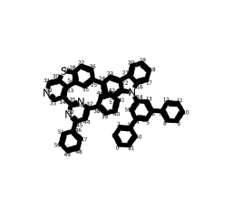 c1ccc(-c2cc(-c3ccccc3)cc(-n3c4ccccc4c4cc(-c5ccc6sc7cncc(-c8nc(-c9ccccc9)cc(-c9ccccc9)n8)c7c6c5)ccc43)c2)cc1